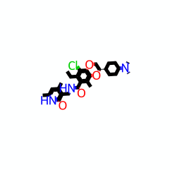 CCc1c(Cl)c2c(c(C)c1C(=O)NCc1c(C)cc(C)[nH]c1=O)O[C@@H](C1CCC(N(C)C)CC1)CO2